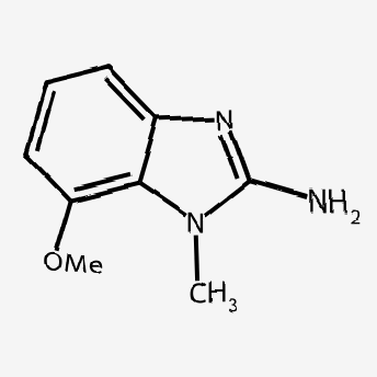 COc1cccc2nc(N)n(C)c12